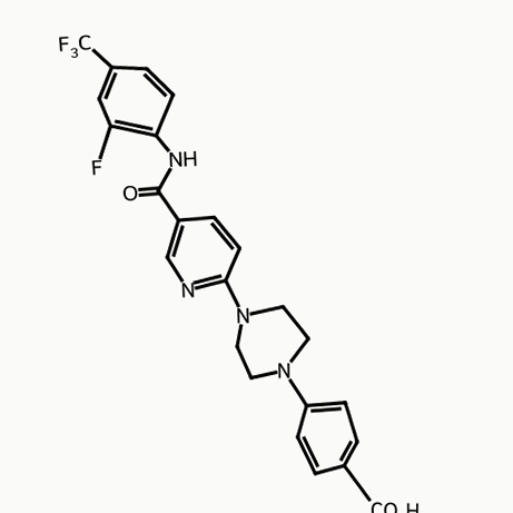 O=C(O)c1ccc(N2CCN(c3ccc(C(=O)Nc4ccc(C(F)(F)F)cc4F)cn3)CC2)cc1